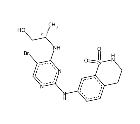 C[C@@H](CO)Nc1nc(Nc2ccc3c(c2)S(=O)(=O)NCC3)ncc1Br